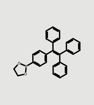 c1ccc(C(=C(c2ccccc2)c2ccc(B3OCCO3)cc2)c2ccccc2)cc1